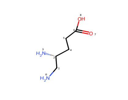 NC[C@H](N)CCC(=O)O